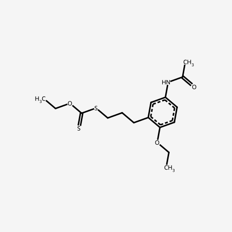 CCOC(=S)SCCCc1cc(NC(C)=O)ccc1OCC